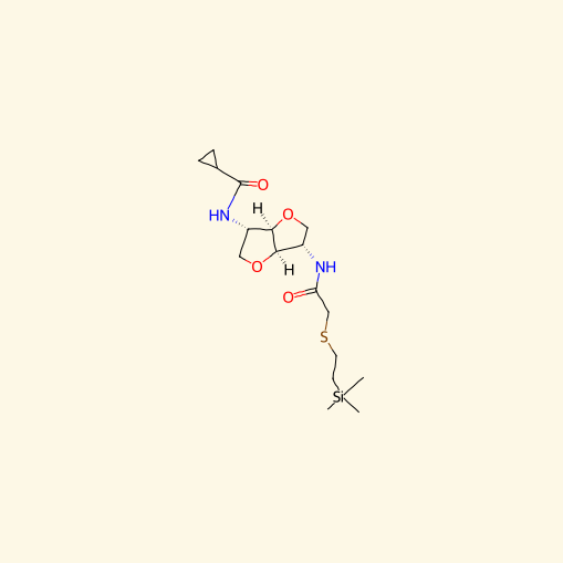 C[Si](C)(C)CCSCC(=O)N[C@H]1CO[C@H]2[C@@H]1OC[C@@H]2NC(=O)C1CC1